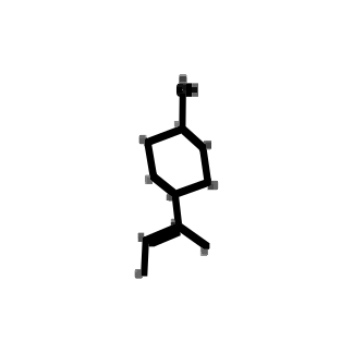 C/C=C(\C)C1CCC(O)CC1